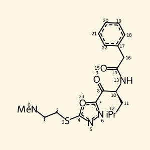 CNCCSc1nnc(C(=O)[C@H](CC(C)C)NC(=O)Cc2ccccc2)o1